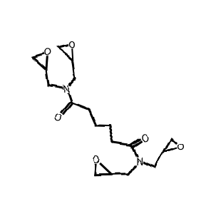 O=C(CCCCC(=O)N(CC1CO1)CC1CO1)N(CC1CO1)CC1CO1